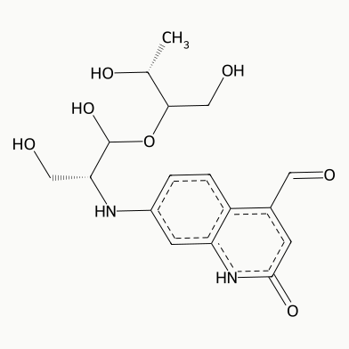 C[C@@H](O)C(CO)OC(O)[C@@H](CO)Nc1ccc2c(C=O)cc(=O)[nH]c2c1